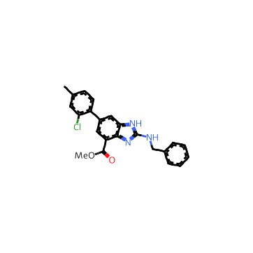 COC(=O)c1cc(-c2ccc(C)cc2Cl)cc2[nH]c(NCc3ccccc3)nc12